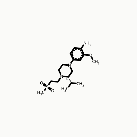 COc1cc(N2CCN(CCS(C)(=O)=O)[C@@H](C(C)C)C2)ccc1N